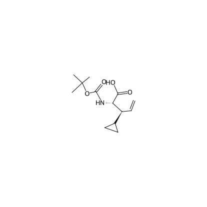 C=C[C@@H](C1CC1)[C@H](NC(=O)OC(C)(C)C)C(=O)O